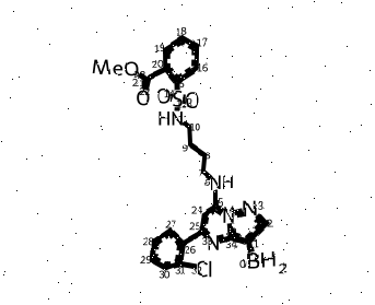 Bc1cnn2c(NCCCCNS(=O)(=O)c3ccccc3C(=O)OC)cc(-c3ccccc3Cl)nc12